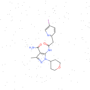 Cc1nn(C2CCOCC2)c(NC(=O)Cc2ccc(I)cn2)c1C(N)=O